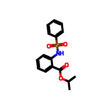 CC(C)OC(=O)c1ccccc1NS(=O)(=O)c1ccccc1